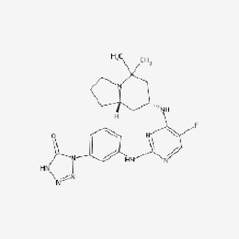 CC1(C)C[C@H](Nc2nc(Nc3cccc(-n4nn[nH]c4=O)c3)ncc2F)C[C@@H]2CCCN21